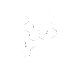 CNC(=O)c1cc2c(c(F)c1-c1c(Cl)c(F)cc3c1C[C@](c1ccccc1)([C@@H]1CCCN1)O3)C(O)CC2